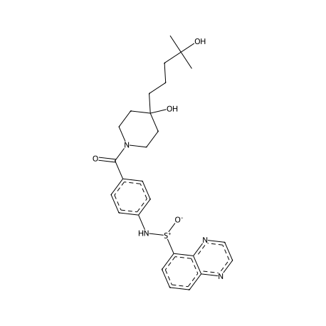 CC(C)(O)CCCC1(O)CCN(C(=O)c2ccc(N[S+]([O-])c3cccc4nccnc34)cc2)CC1